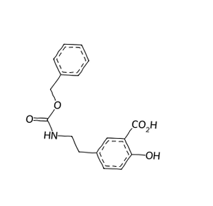 O=C(NCCc1ccc(O)c(C(=O)O)c1)OCc1ccccc1